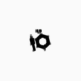 CC#N.O.c1ccncc1